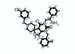 N[C@@H](Cn1c(=O)c2c(n(Cc3c(F)cccc3C(F)(F)F)c1=O)COC21CCN(Cc2cccc(Cl)c2)CC1)c1ccccc1